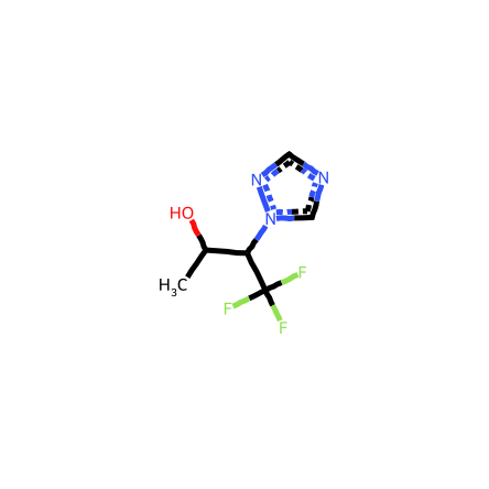 CC(O)C(n1cncn1)C(F)(F)F